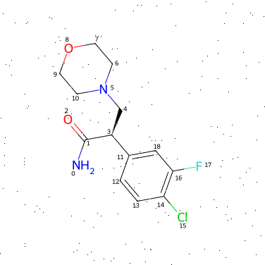 NC(=O)[C@@H](CN1CCOCC1)c1ccc(Cl)c(F)c1